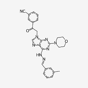 Cc1cccc(/C=N/Nc2nc(N3CCOCC3)nc3c2ncn3CC(=O)c2cccc(C#N)c2)c1